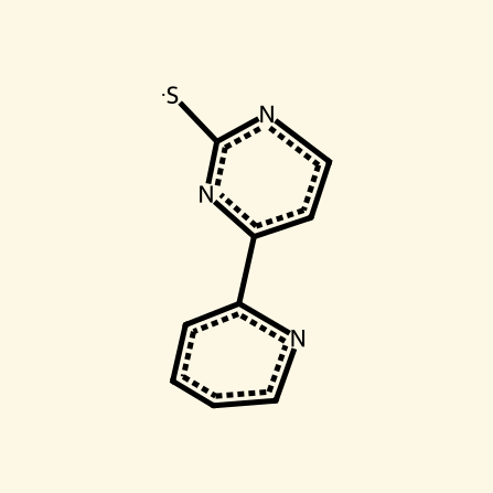 [S]c1nccc(-c2ccccn2)n1